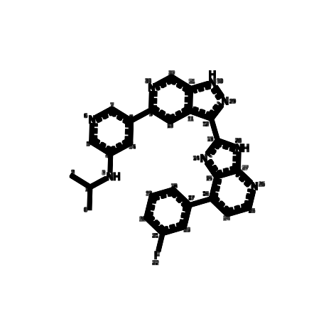 CC(C)Nc1cncc(-c2cc3c(-c4nc5c(-c6cccc(F)c6)ccnc5[nH]4)n[nH]c3cn2)c1